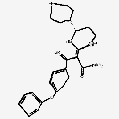 N=C(C1=CC=C(Oc2ccccc2)CC1)/C(C(N)=O)=C1/NCC[C@@H](C2CCNCC2)N1